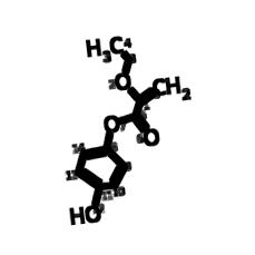 C=C(OCC)C(=O)Oc1ccc(O)cc1